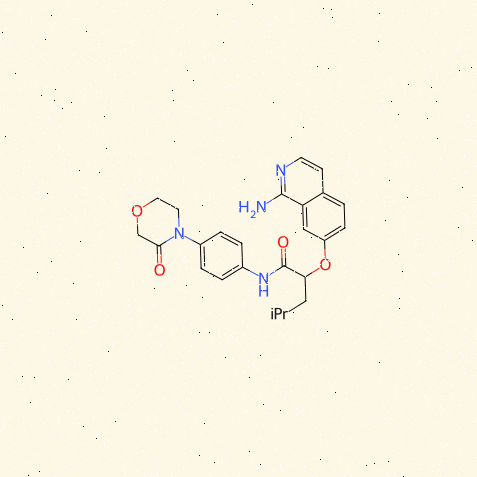 CC(C)CC(Oc1ccc2ccnc(N)c2c1)C(=O)Nc1ccc(N2CCOCC2=O)cc1